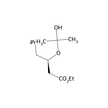 CCOC(=O)C[C@@H](CC(C)C)OC(C)(C)O